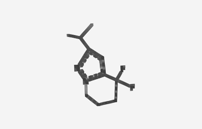 CC(C)c1cc2n(n1)CCCC2(F)F